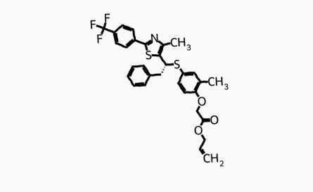 C=CCOC(=O)COc1ccc(S[C@H](Cc2ccccc2)c2sc(-c3ccc(C(F)(F)F)cc3)nc2C)cc1C